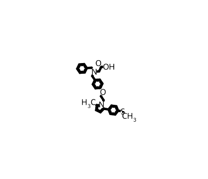 CSc1ccc(-c2ccc(C)n2CCOc2ccc(CN(CC(=O)O)Cc3ccccc3)cc2)cc1